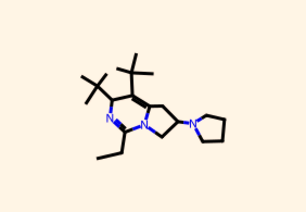 CCC1=NC(C(C)(C)C)C(C(C)(C)C)=C2CC(N3CCCC3)CN12